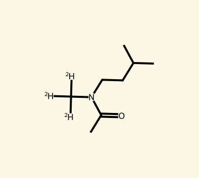 [2H]C([2H])([2H])N(CCC(C)C)C(C)=O